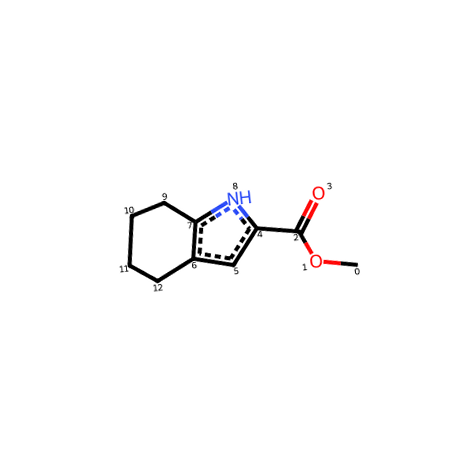 COC(=O)c1cc2c([nH]1)CCCC2